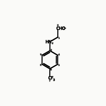 O=[C]CNc1ccc(C(F)(F)F)cc1